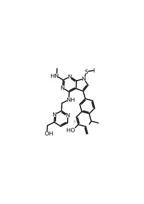 C=C/C(O)=C\c1cc(-c2cn(SI)c3nc(NC)nc(NCc4nccc(CO)n4)c23)ccc1C(C)C